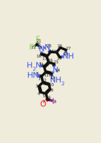 N=C(c1ccc(C(=O)I)cc1)c1c(N)ncc(-c2cn(C(F)F)nc2C2CCNC2)c1N